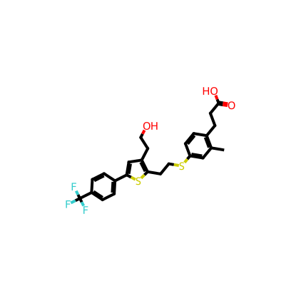 Cc1cc(SCCc2sc(-c3ccc(C(F)(F)F)cc3)cc2CCO)ccc1CCC(=O)O